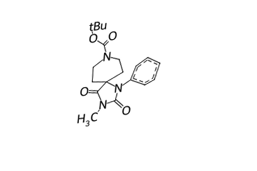 CN1C(=O)N(c2ccccc2)C2(CCN(C(=O)OC(C)(C)C)CC2)C1=O